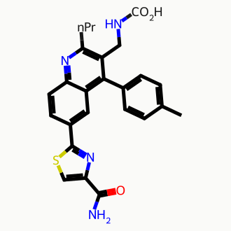 CCCc1nc2ccc(-c3nc(C(N)=O)cs3)cc2c(-c2ccc(C)cc2)c1CNC(=O)O